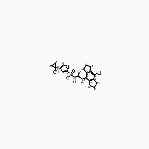 O=C(Nc1c2c(c(Cl)c3c1CCC3)CCC2)NS(=O)(=O)c1cc(C2(O)CC2)co1